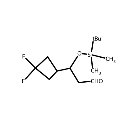 CC(C)(C)[Si](C)(C)OC(CC=O)C1CC(F)(F)C1